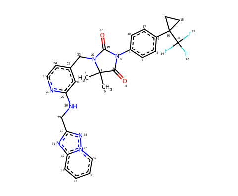 CC1(C)C(=O)N(c2ccc(C3(C(F)(F)F)CC3)cc2)C(=O)N1Cc1ccnc(NCc2nc3ccccn3n2)c1